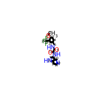 COc1ccc(CNC(=O)C(=O)Nc2c[nH]c3ccncc23)cc1C(F)(F)F